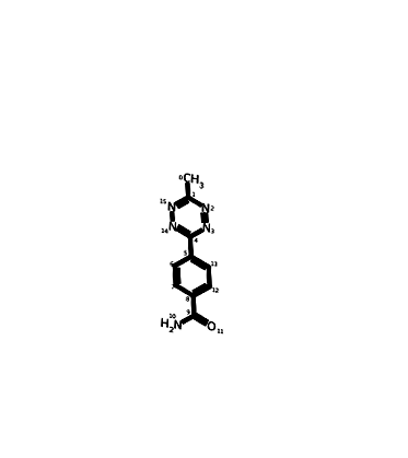 Cc1nnc(-c2ccc(C(N)=O)cc2)nn1